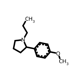 CCCN1CCCC1c1ccc(OC)cc1